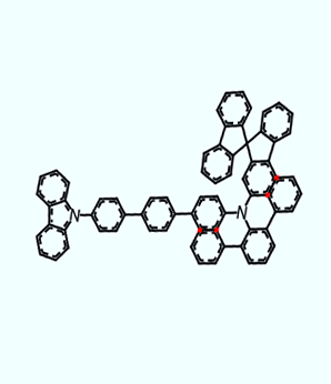 c1ccc(-c2cccc(-c3ccccc3)c2N(c2ccc(-c3ccc(-c4ccc(-n5c6ccccc6c6ccccc65)cc4)cc3)cc2)c2ccc3c(c2)C2(c4ccccc4-c4ccccc42)c2ccccc2-3)cc1